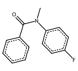 CN(C(=O)c1ccccc1)c1ccc(F)cc1